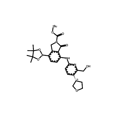 CC(C)(C)OC(=O)N1Cc2c(B3OC(C)(C)C(C)(C)O3)ccc(Nc3ccc([C@@H]4CCOC4)c(CO)n3)c2C1=O